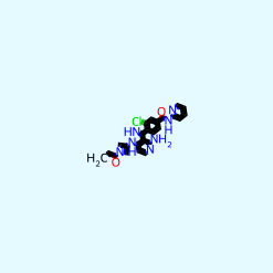 C=CC(=O)N1CC(Nc2ccnc(N)c2C(=N)c2ccc(C(=O)Nc3ccccn3)cc2Cl)C1